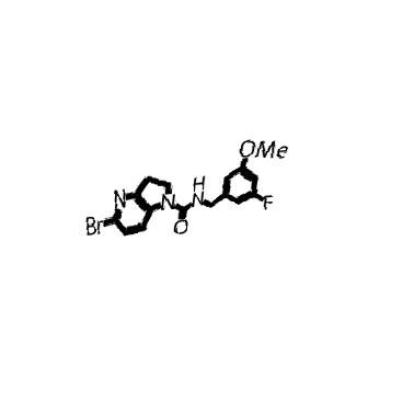 COc1cc(F)cc(CNC(=O)N2CCc3nc(Br)ccc32)c1